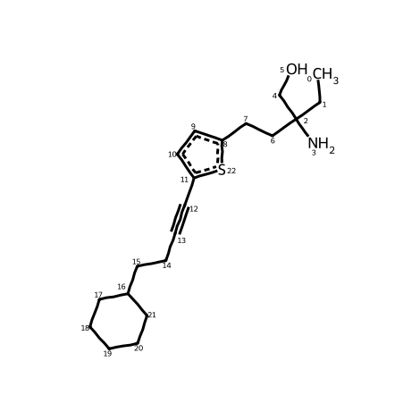 CCC(N)(CO)CCc1ccc(C#CCCC2CCCCC2)s1